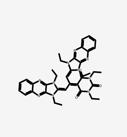 CCN1C(=O)C(=C(C=C2N(CC)c3nc4ccccc4nc3N2CC)C=C2N(CC)c3nc4ccccc4nc3N2CC)C(=O)N(CC)C1=O